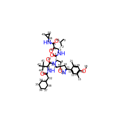 CCC[C@H](NC(=O)[C@@H]1C[C@]2(CC(c3cc(C)c(OC)cc3C)=NO2)CN1C(=O)[C@@H](NC(=O)CC1CCCCC1)C(C)(C)C)C(=O)C(=O)NC1CC1